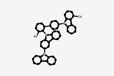 N#Cc1cccc(-c2ccc(-n3c4ccccc4c4c(C#N)cccc43)cc2)c1-n1c2ccccc2c2cc(-n3c4ccccc4c4ccccc43)ccc21